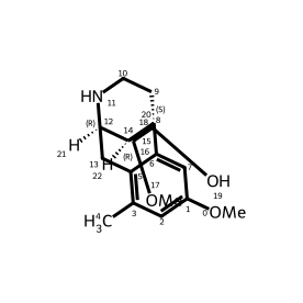 COc1cc(C)c2c(c1)[C@]13CCN[C@H](C2)[C@@H]1CC(OC)C(O)C3